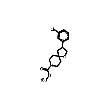 CC(C)(C)OC(=O)N1CCC2(CC1)CC(c1cccc(Cl)c1)CO2